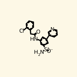 N[S+]([O-])c1cc(NC(=O)Cc2ccccc2Cl)cc(-c2cccnc2)c1